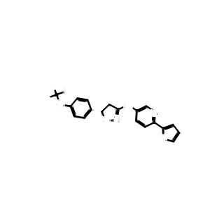 FC(F)(F)Oc1ccc([C@@H]2CC(Oc3ccc(-c4cccs4)nc3)=NO2)cc1